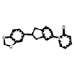 O=c1ccccn1-c1ccc2c(c1)CC(c1ccc3c(c1)OCO3)C2